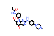 C=CC(=O)Nc1cccc(-n2c(CO)cc(=O)c3cnc(Nc4ccc(N5CCN(C)CC5)cc4)nc32)c1